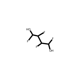 OC(F)C(F)C(F)C(O)F